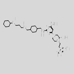 CCOP(=O)(CCN1CCN(c2cc(N)nc(NCC3CCC(CNCCCNC4CCCCC4)CC3)n2)C[C@H]1C)OCC